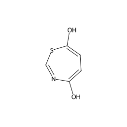 OC1=CC=C(O)SC=N1